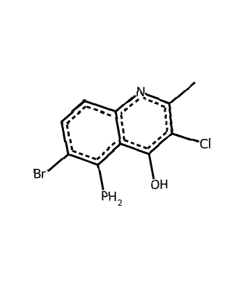 Cc1nc2ccc(Br)c(P)c2c(O)c1Cl